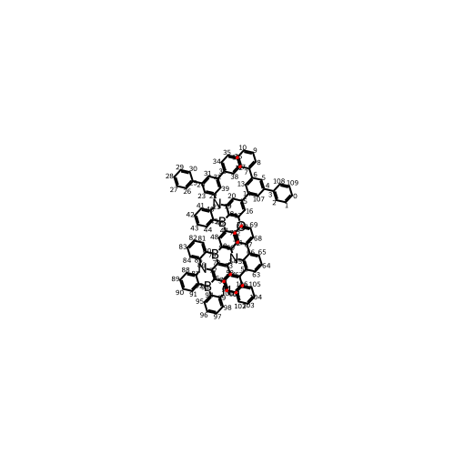 c1ccc(-c2cc(-c3ccccc3)cc(-c3cc4c5c(c3)N(c3cc(-c6ccccc6)cc(-c6ccccc6)c3)c3ccccc3B5c3cc5c(cc3O4)N(c3c(-c4ccccc4)cccc3-c3ccccc3)c3cc4c6c7c3B5c3ccccc3N7c3ccccc3B6c3ccccc3N4c3ccccc3)c2)cc1